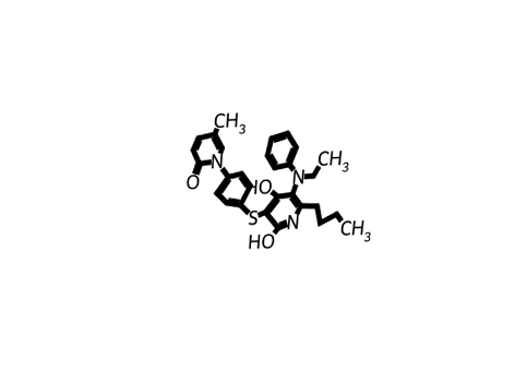 CCCCc1nc(O)c(Sc2ccc(-n3cc(C)ccc3=O)cc2)c(O)c1N(CC)c1ccccc1